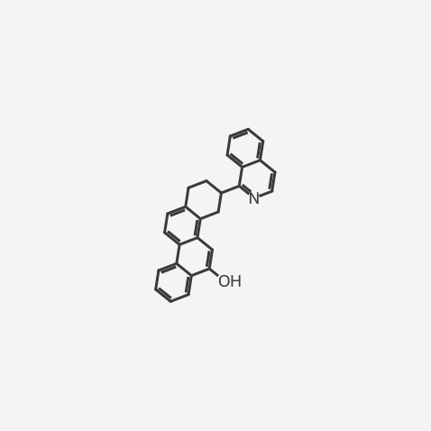 Oc1cc2c3c(ccc2c2ccccc12)CCC(c1nccc2ccccc12)C3